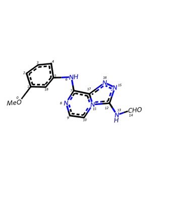 COc1cccc(Nc2nccn3c(NC=O)nnc23)c1